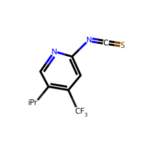 CC(C)c1cnc(N=C=S)cc1C(F)(F)F